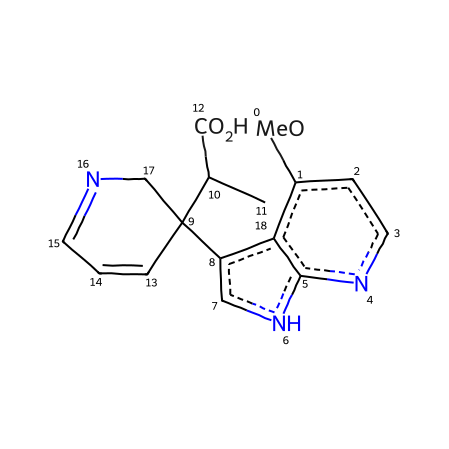 COc1ccnc2[nH]cc(C3(C(C)C(=O)O)C=CC=NC3)c12